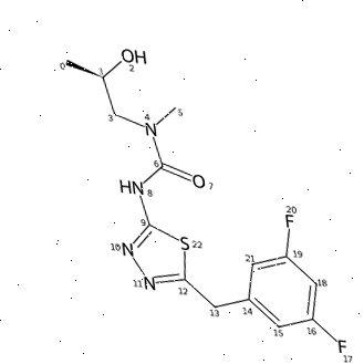 C[C@@H](O)CN(C)C(=O)Nc1nnc(Cc2cc(F)cc(F)c2)s1